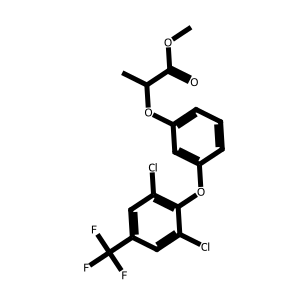 COC(=O)C(C)Oc1cccc(Oc2c(Cl)cc(C(F)(F)F)cc2Cl)c1